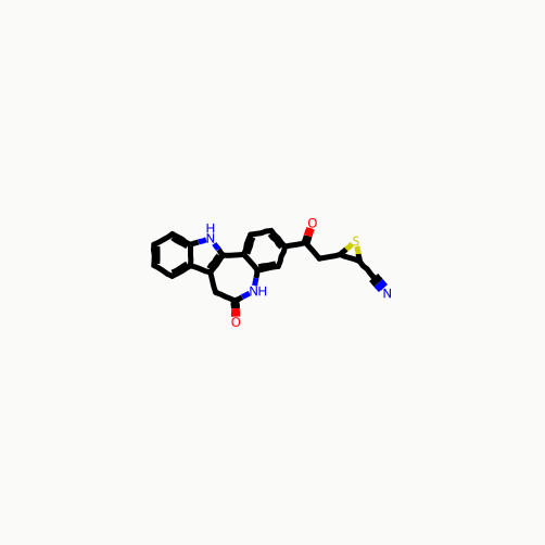 N#CC1SC1CC(=O)c1ccc2c(c1)NC(=O)Cc1c-2[nH]c2ccccc12